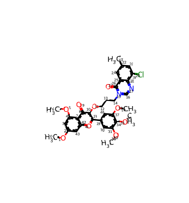 COc1cc(OC)c2c(=O)c(OCCCn3cnc4c(Cl)cc(C)cc4c3=O)c(-c3cc(OC)c(OC)c(OC)c3)oc2c1